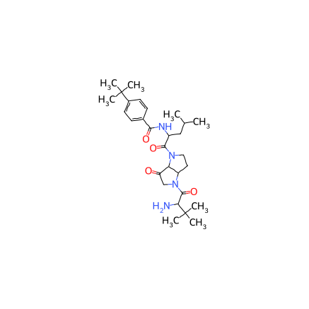 CC(C)CC(NC(=O)c1ccc(C(C)(C)C)cc1)C(=O)N1CCC2C1C(=O)CN2C(=O)C(N)C(C)(C)C